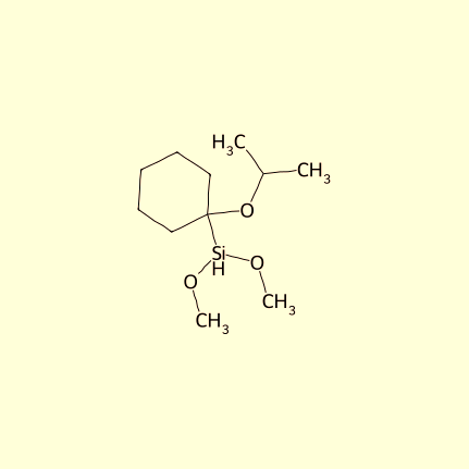 CO[SiH](OC)C1(OC(C)C)CCCCC1